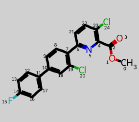 COC(=O)c1nc(-c2ccc(-c3ccc(F)cc3)cc2Cl)ccc1Cl